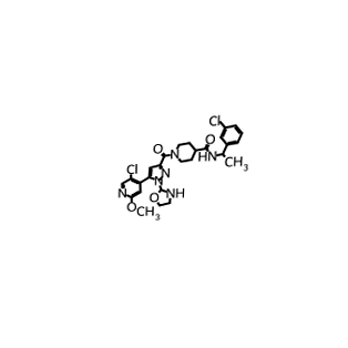 COc1cc(-c2cc(C(=O)N3CCC(C(=O)NC(C)c4cccc(Cl)c4)CC3)nn2C2NCCO2)c(Cl)cn1